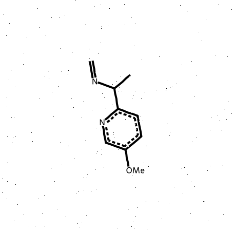 C=NC(C)c1ccc(OC)cn1